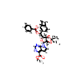 COC(=O)c1ncnc2c1ccn2[C@@H]1O[C@H]([C@H](OC(=O)c2ccccc2)c2ccc3c(c2)CC3)[C@H]2OC(C)(C)O[C@H]21